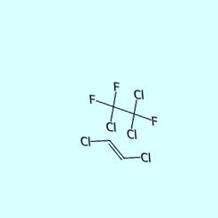 Cl/C=C/Cl.FC(F)(Cl)C(F)(Cl)Cl